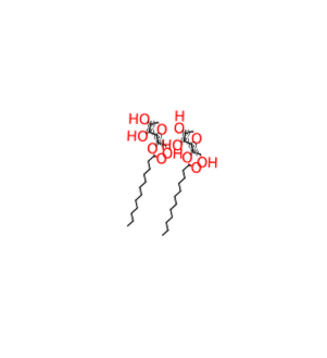 CCCCCCCCCCCC(=O)O[C@H](CO)[C@H]1OC[C@H](O)[C@H]1O.CCCCCCCCCCCC(=O)O[C@H](CO)[C@H]1OC[C@H](O)[C@H]1O